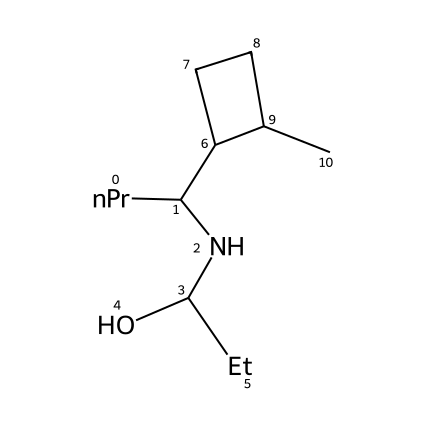 CCCC(NC(O)CC)C1CCC1C